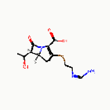 CC(O)[C@H]1C(=O)N2C(C(=O)O)=C(SCC/N=C\N)C[C@H]12